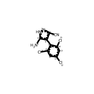 N#Cc1n[nH]c(N)c1-c1c(Cl)cc(Cl)cc1Cl